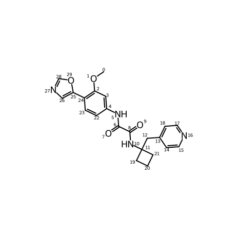 COc1cc(NC(=O)C(=O)NC2(Cc3ccncc3)CCC2)ccc1-c1cnco1